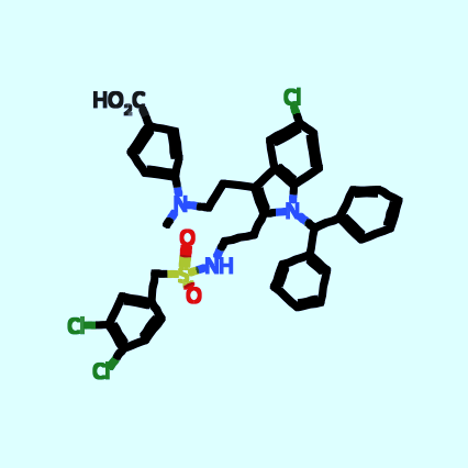 CN(CCc1c(CCNS(=O)(=O)Cc2ccc(Cl)c(Cl)c2)n(C(c2ccccc2)c2ccccc2)c2ccc(Cl)cc12)c1ccc(C(=O)O)cc1